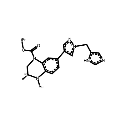 CC(=O)N1c2ccc(-c3cnn(Cc4cnc[nH]4)c3)cc2N(C(=O)OC(C)C)C[C@@H]1C